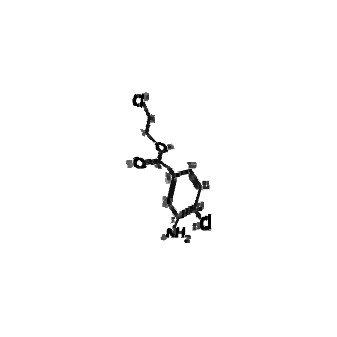 Nc1cc(C(=O)OCCCl)ccc1Cl